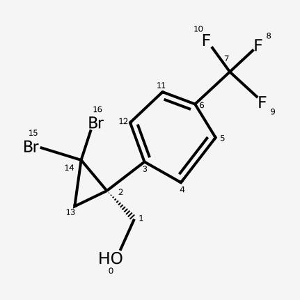 OC[C@]1(c2ccc(C(F)(F)F)cc2)CC1(Br)Br